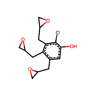 Oc1cc(CC2CO2)c(CC2CO2)c(CC2CO2)c1Cl